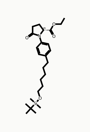 CCOC(=O)[C@H]1CCC(=O)N1c1ccc(CCCCCCO[Si](C)(C)C(C)(C)C)cc1